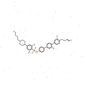 C/C=C/CCc1ccc(-c2ccc(-c3ccc(OC(F)(F)c4c(F)cc(C5CCC(CCCCC)CC5)cc4F)cc3)cc2F)cc1F